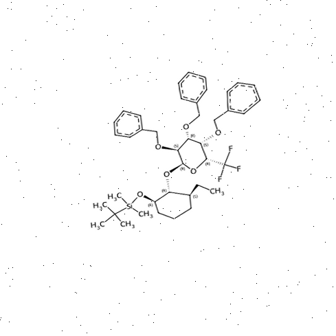 CC[C@H]1CCC[C@@H](O[Si](C)(C)C(C)(C)C)[C@@H]1O[C@@H]1O[C@@H](C(F)(F)F)[C@@H](OCc2ccccc2)[C@@H](OCc2ccccc2)[C@@H]1OCc1ccccc1